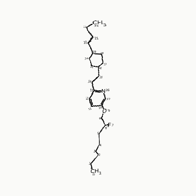 CCCCCCC(F)COc1ccc(CCC2CCC(CCCC)CC2)nc1